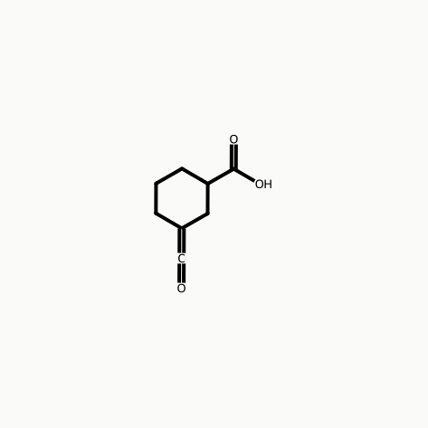 O=C=C1CCCC(C(=O)O)C1